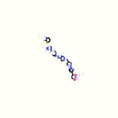 CC1(NCC2CCN(CC3CCN(c4ccc(C5CCC(=O)NC5O)cn4)CC3)CC2)CCN(c2cnc(Sc3cccc(N)c3Cl)c(N)n2)CC1